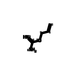 C=CCOC(=N)N